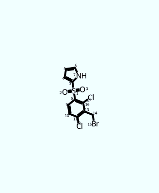 O=S(=O)(c1ccc[nH]1)c1ccc(Cl)c(CBr)c1Cl